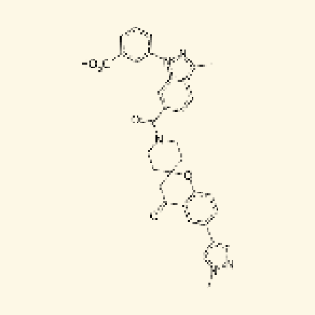 Cc1nn(-c2cccc(C(=O)O)c2)c2cc(C(=O)N3CCC4(CC3)CC(=O)c3cc(-c5cnn(C)c5)ccc3O4)ccc12